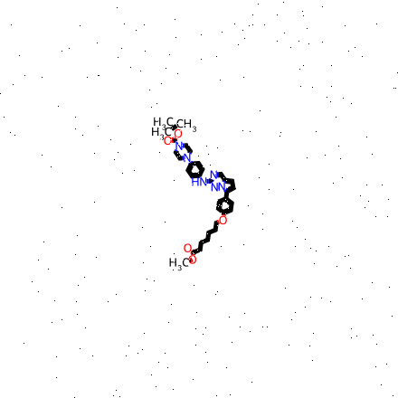 COC(=O)CCCCCCOc1ccc(-c2ccc3cnc(Nc4ccc(N5CCN(C(=O)OC(C)(C)C)CC5)cc4)nn23)cc1